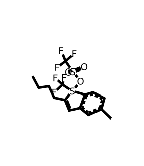 CCCCC1=Cc2cc(C)ccc2S1(OS(=O)(=O)C(F)(F)F)C(F)(F)F